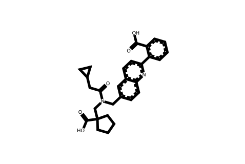 O=C(O)c1ccccc1-c1ccc2cc(CN(CC3(C(=O)O)CCCC3)C(=O)CC3CC3)ccc2n1